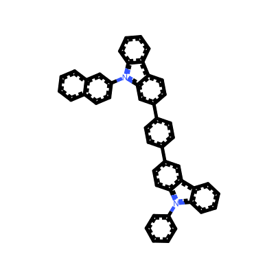 c1ccc(-n2c3ccccc3c3cc(-c4ccc(-c5ccc6c7ccccc7n(-c7ccc8ccccc8c7)c6c5)cc4)ccc32)cc1